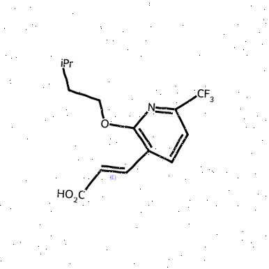 CC(C)CCOc1nc(C(F)(F)F)ccc1/C=C/C(=O)O